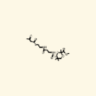 COC(=O)C1(C)OCC(C)(C)[C@H](C(=O)NCCC(=O)NCCSC(=O)CC(C)=O)O1